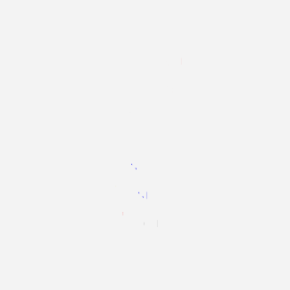 CC(=O)Nc1nc(CCc2ccc(CC(=O)O)s2)cs1